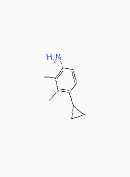 Cc1c(N)ccc(C2CC2)c1C